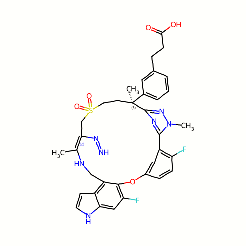 C/C1=C(/N=N)CS(=O)(=O)CC[C@@](C)(c2cccc(CCC(=O)O)c2)c2nc(n(C)n2)-c2cc(ccc2F)Oc2c(F)cc3[nH]ccc3c2CN1